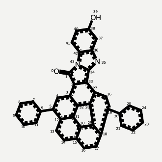 O=c1c2c3cc(-c4ccccc4)c4ccc5ccc6c(-c7ccccc7)cc(c7c6c5c4c37)c2c2nc3cc(O)ccc3n12